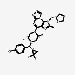 Cc1nc2c(N3C[C@@H](C)N(C(c4ccc(Cl)cc4)[C@@H]4CC4(F)F)C[C@@H]3C)nc3nncn3c2n1C[C@@H]1CCCO1